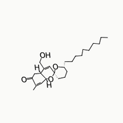 CCCCCCCCCC[C@@H]1CCC[C@]2(C=C(CO)[C@H]3CC(=O)C(C)=C[C@H]3O2)O1